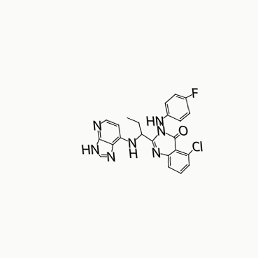 CCC(Nc1ccnc2[nH]cnc12)c1nc2cccc(Cl)c2c(=O)n1Nc1ccc(F)cc1